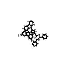 Brc1ccc2c(c1)-c1cc(Br)ccc1C21c2cc(-c3nc(-c4ccccc4)nc(-c4ccccc4)n3)ccc2-n2c3ncccc3c3cccc1c32